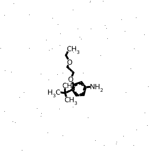 CCOCCOc1cc(N)ccc1C(C)(C)C